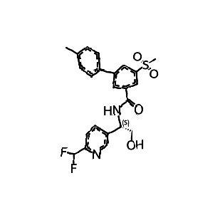 Cc1ccc(-c2cc(C(=O)N[C@H](CO)c3ccc(C(F)F)nc3)cc(S(C)(=O)=O)c2)cc1